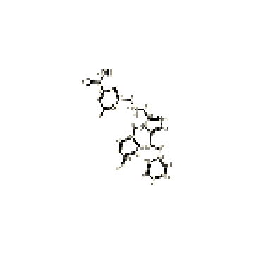 Cc1cc(C(=O)O)cc(CNCc2ncc(CCc3ccccc3)n2Cc2ccc(F)cc2)n1